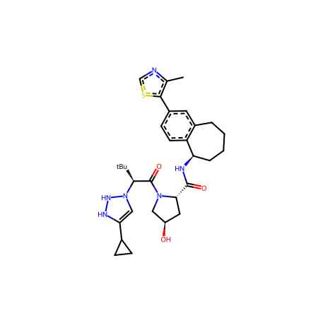 Cc1ncsc1-c1ccc2c(c1)CCCC[C@H]2NC(=O)[C@@H]1C[C@@H](O)CN1C(=O)[C@@H](N1C=C(C2CC2)NN1)C(C)(C)C